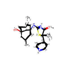 CC1CC2(O)C[C@H](C)CC(NC3=NC(=O)C(C)(c4ccncc4)S3)(C1)C2